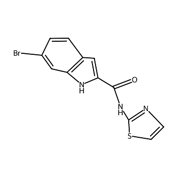 O=C(Nc1nccs1)c1cc2ccc(Br)cc2[nH]1